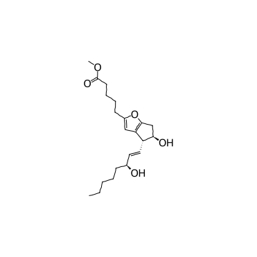 CCCCC[C@H](O)C=C[C@@H]1c2cc(CCCCC(=O)OC)oc2C[C@H]1O